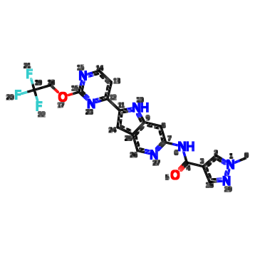 Cn1cc(C(=O)Nc2cc3[nH]c(-c4ccnc(OCC(F)(F)F)n4)cc3cn2)cn1